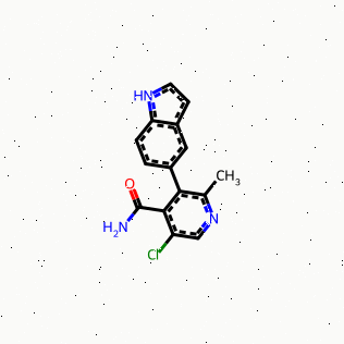 Cc1ncc(Cl)c(C(N)=O)c1-c1ccc2[nH]ccc2c1